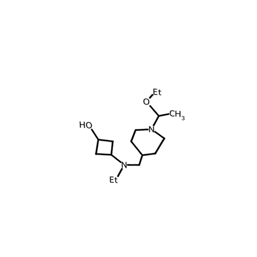 CCOC(C)N1CCC(CN(CC)C2CC(O)C2)CC1